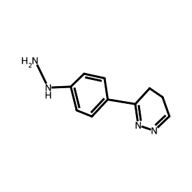 NNc1ccc(C2=NN=CCC2)cc1